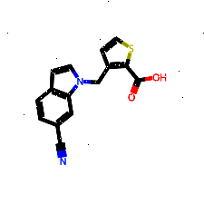 N#Cc1ccc2ccn(Cc3ccsc3C(=O)O)c2c1